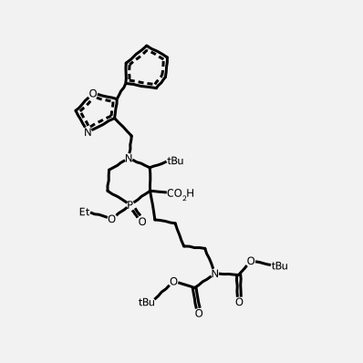 CCOP1(=O)CCN(Cc2ncoc2-c2ccccc2)C(C(C)(C)C)C1(CCCCN(C(=O)OC(C)(C)C)C(=O)OC(C)(C)C)C(=O)O